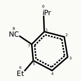 [CH2]C(C)c1cccc(CC)c1C#N